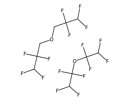 FC(F)C(F)(F)COCC(F)(F)C(F)F.FC(F)C(F)(F)OC(F)(F)C(F)F